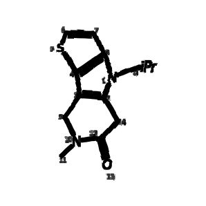 CC(C)n1c2c(c3sccc31)CN(C)C(=O)C2